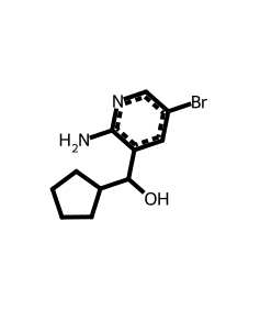 Nc1ncc(Br)cc1C(O)C1CCCC1